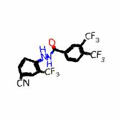 N#Cc1ccc(NNC(=O)c2ccc(C(F)(F)F)c(C(F)(F)F)c2)c(C(F)(F)F)c1